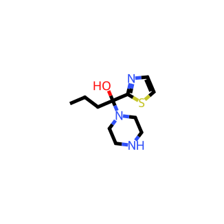 CCCC(O)(c1nccs1)N1CCNCC1